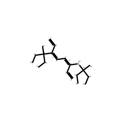 C=C/C(=C\C=C(/C=C)C(C)(CC)CC)SC(C)(CC)CC